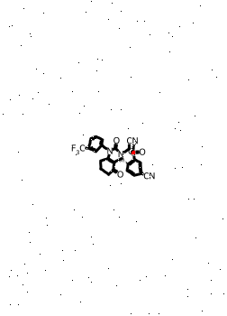 CS(=O)(=O)c1cc(C#N)ccc1[C@@H]1C2=C(CCCC2=O)N(c2cccc(C(F)(F)F)c2)C(=O)N1CC#N